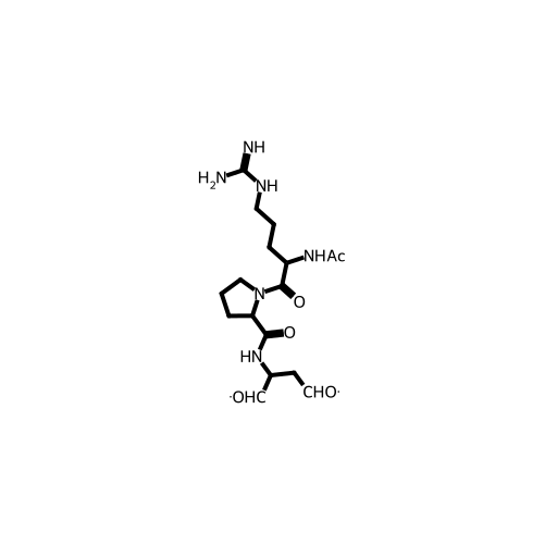 CC(=O)NC(CCCNC(=N)N)C(=O)N1CCCC1C(=O)NC([C]=O)C[C]=O